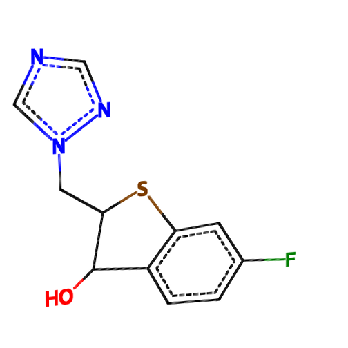 OC1c2ccc(F)cc2SC1Cn1cncn1